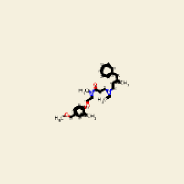 CCN(CCC(=O)N(C)CCOc1ccc(COC)cc1C)CCC(C)CC1=CCC=CC=C1